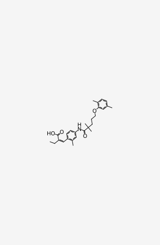 CCC(=Cc1ccc(NC(=O)C(C)(C)CCCOc2cc(C)ccc2C)cc1C)C(=O)O